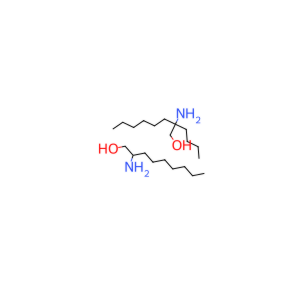 CCCCCCC(N)(CO)CCCC.CCCCCCCC(N)CO